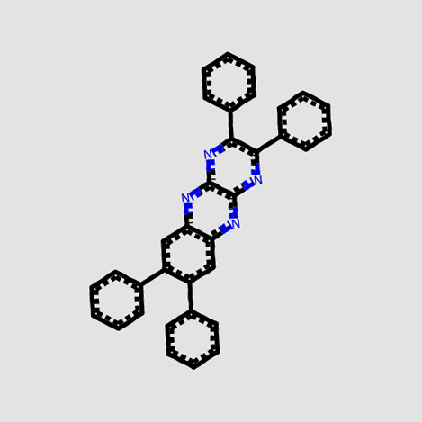 c1ccc(-c2cc3nc4nc(-c5ccccc5)c(-c5ccccc5)nc4nc3cc2-c2ccccc2)cc1